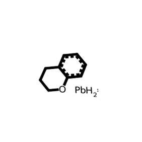 [PbH2].c1ccc2c(c1)CCCO2